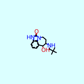 CC(C)(C)CNC1CCn2c(=O)[nH]c3cccc(c32)C1O